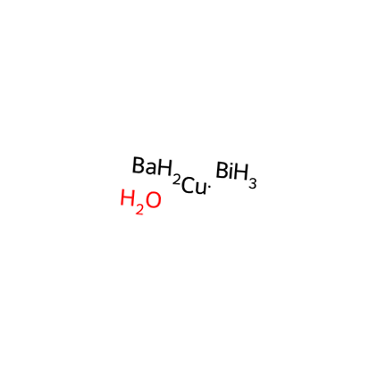 O.[BaH2].[BiH3].[Cu]